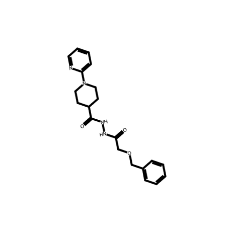 O=C(COCc1ccccc1)NNC(=O)C1CCN(c2ccccn2)CC1